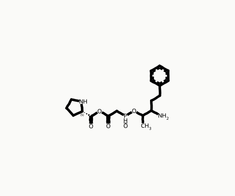 CC(O[PH](=O)CC(=O)OC(=O)[C@@H]1CCCN1)C(N)CCc1ccccc1